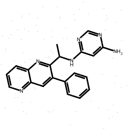 CC(Nc1cc(N)ncn1)c1nc2cccnc2cc1-c1ccccc1